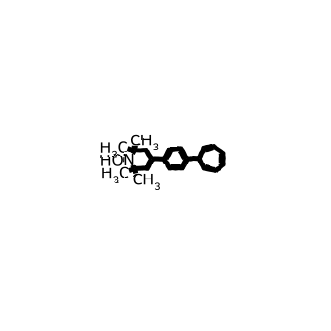 CC1(C)CC(c2ccc(C3C=CC=CC=C3)cc2)CC(C)(C)N1O